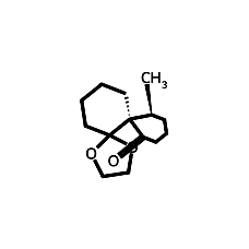 C[C@H]1CCCC(=O)[C@]12CCCCC21OCCO1